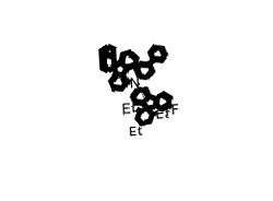 CCC1CC(CC)C2(c3ccc(N(c4ccc(-c5ccccc5)cc4)c4cccc5c4-c4ccccc4C54C5CC6CC(C5)CC4C6)cc3-c3ccc(F)cc32)C(CC)C1